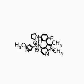 Cc1c(-c2cc(N3CCCC3)ccc2F)c2c(NS(=O)(=O)c3cnn(C)c3)ccnc2n1C